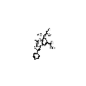 CC(=O)N[C@H]1[C@H]([C@H](O)C(O)CO)OC(C(=O)O)=C[C@@H]1n1cc(-c2ccccc2)nn1